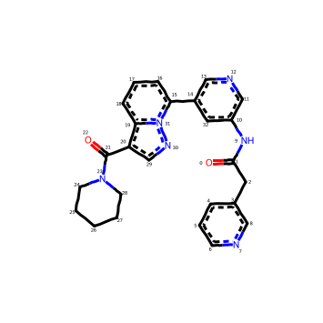 O=C(Cc1cccnc1)Nc1cncc(-c2cccc3c(C(=O)N4CCCCC4)cnn23)c1